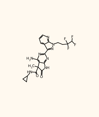 CC1(C(=O)NC2CC2)C(=O)Nc2nc(-c3nn(CCC(F)(F)C(F)F)c4ncccc34)nc(N)c21